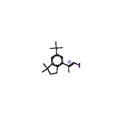 C/C(=C\I)c1cc(C(C)(C)C)cc2c1CCC2(C)C